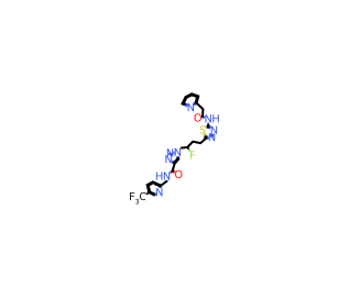 O=C(Cc1ccccn1)Nc1nnc(CCC(F)Cn2cc(C(=O)NCc3ccc(C(F)(F)F)cn3)nn2)s1